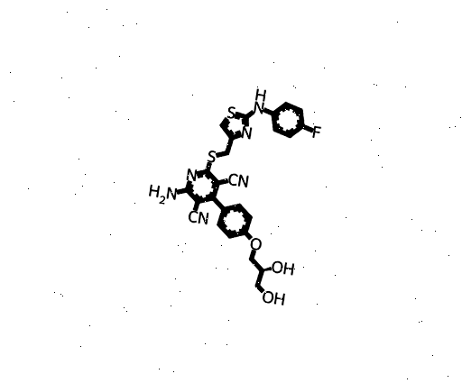 N#Cc1c(N)nc(SCc2csc(Nc3ccc(F)cc3)n2)c(C#N)c1-c1ccc(OC[C@@H](O)CO)cc1